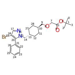 CC(C)(C)OC(=O)COC[C@H]1CC[C@H](Cn2ncc(Br)c2-c2ccccc2)CC1